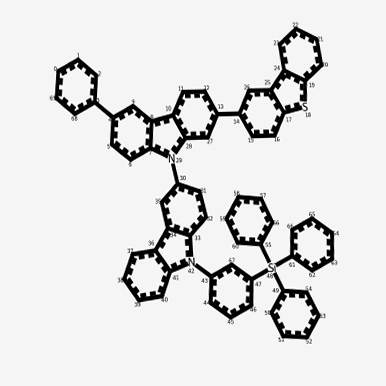 c1ccc(-c2ccc3c(c2)c2ccc(-c4ccc5sc6ccccc6c5c4)cc2n3-c2ccc3c(c2)c2ccccc2n3-c2cccc([Si](c3ccccc3)(c3ccccc3)c3ccccc3)c2)cc1